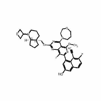 C#Cc1c(F)ccc2cc(O)cc(-c3nc(OC)c4c(N5CCCOCC5)nc(OC[C@]56CCC[C@H]5N(C5COC5)CCC6)nc4c3F)c12